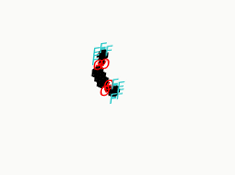 O=C(Oc1ccc2cc3ccc(OC(=O)c4cc(F)c(F)c(F)c4F)cc3cc2c1)c1cc(F)c(F)c(F)c1F